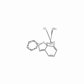 CCCC[C@@]1(CC)CSC2=CC=CC3=CCSC32[C@H](c2ccccc2)N1